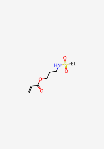 C=CC(=O)OCCCNS(=O)(=O)CC